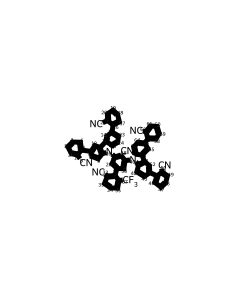 N#Cc1ccccc1-c1ccc2c(c1)c1cc(-c3ccccc3C#N)ccc1n2-c1cc(-c2c(C#N)cccc2C(F)(F)F)cc(-n2c3ccc(-c4ccccc4C#N)cc3c3cc(-c4ccccc4C#N)ccc32)c1C#N